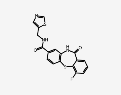 O=C(NCc1cncs1)c1ccc2c(c1)NC(=O)c1cccc(F)c1S2